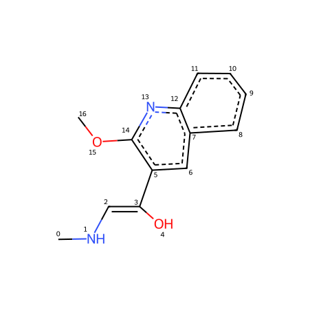 CN/C=C(\O)c1cc2ccccc2nc1OC